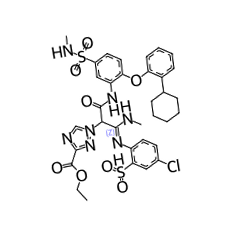 CCOC(=O)c1ncn(C(C(=O)Nc2cc(S(=O)(=O)NC)ccc2Oc2ccccc2C2CCCCC2)/C(=N/c2ccc(Cl)cc2[SH](=O)=O)NC)n1